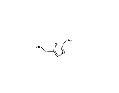 CC(C)(C)Cc1cnc(C(C)(C)C)o1